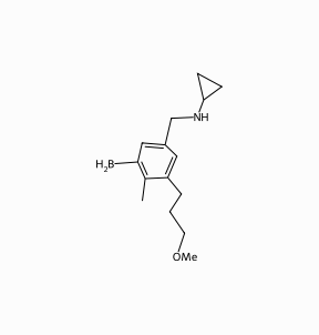 Bc1cc(CNC2CC2)cc(CCCOC)c1C